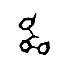 Cc1cccc(N(C)c2ccccc2-c2ccccc2)c1